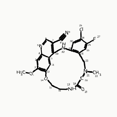 COc1cc2ncc(C#N)c3c2cc1OCCNC(=O)CN(C)Cc1cc(F)c(Cl)cc1N3